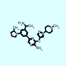 CC(N)c1cc(-c2cnc(N)c(Oc3cnn(C4CCN(C)CC4)c3)n2)cc(N2CCCC2C)c1